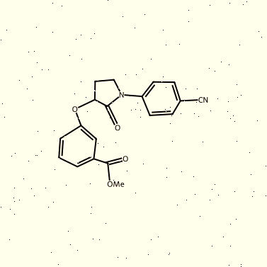 COC(=O)c1cccc(OC2CCN(c3ccc(C#N)cc3)C2=O)c1